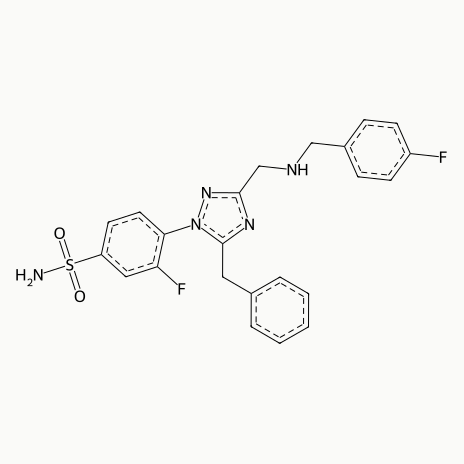 NS(=O)(=O)c1ccc(-n2nc(CNCc3ccc(F)cc3)nc2Cc2ccccc2)c(F)c1